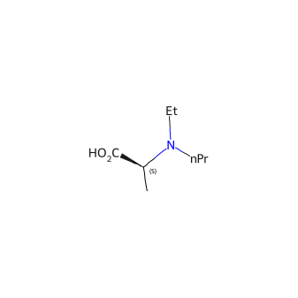 CCCN(CC)[C@@H](C)C(=O)O